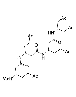 CNC(CCC(C)=O)CC(=O)NC(CCC(C)=O)CC(=O)NC(CCC(C)=O)CC(=O)NC(CC(C)=O)CC(C)=O